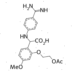 COc1ccc(C(Nc2ccc(C(=N)N)cc2)C(=O)O)c(OCCOC(C)=O)c1